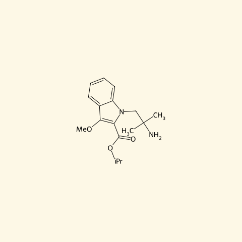 COc1c(C(=O)OC(C)C)n(CC(C)(C)N)c2ccccc12